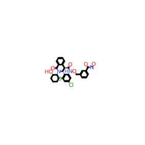 O=NC(=O)c1cccc(CONC(=O)[C@@H]2c3ccccc3C(=O)N([C@H]3CCCC[C@@H]3O)[C@H]2c2ccc(Cl)cc2Cl)c1